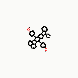 CCC1(CC)c2ccccc2-c2cc3c(-c4ccc(OC)cc4)c4c(c(-c5ccc(OC)cc5)c3cc21)-c1cccc2cccc-4c12